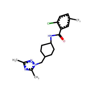 Cc1nc(C)n(CC2CCC(NC(=O)c3cc(C(F)(F)F)ccc3Cl)CC2)n1